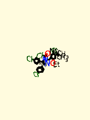 CCOc1cc(C(C)(C)C#N)c(Cl)cc1C1=N[C@H](c2ccc(Cl)cc2)[C@@H](c2ccc(Cl)cc2)N1C(=O)Cl